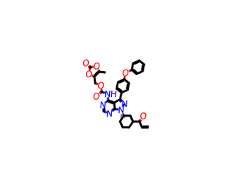 C=CC(=O)C1CCC[C@@H](n2nc(-c3ccc(Oc4ccccc4)cc3)c3c(NC(=O)OCc4oc(=O)oc4C)ncnc32)C1